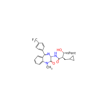 CCCCC[C@H](O)[C@@H](CC1CC1)C(=O)NC1N=C(c2ccc(C(F)(F)F)cc2)c2ccccc2N(C)C1=O